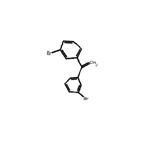 C=C(c1cccc(Br)c1)c1cccc(Br)c1